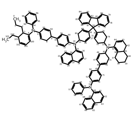 CCCC1C(N(C2=CCC(c3ccc(N(c4cccc5ccccc45)C4C=CC(C5(C6=CCC(N(C7=C8CCCCC8CC=C7)C7C=CC(c8ccc(N(c9ccccc9)c9cccc%10ccccc9%10)cc8)=CC7)CC6)c6ccccc6-c6ccccc65)=CC4)cc3)C=C2)c2ccccc2)=CC=CC1CC